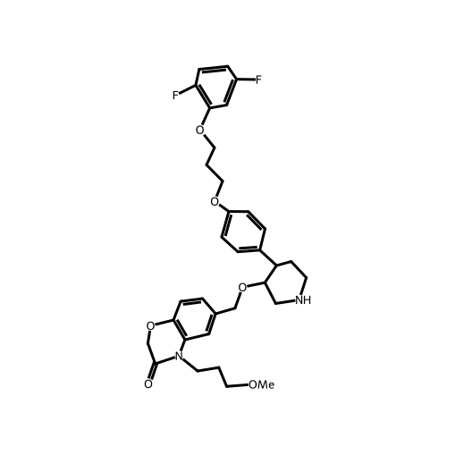 COCCCN1C(=O)COc2ccc(COC3CNCCC3c3ccc(OCCCOc4cc(F)ccc4F)cc3)cc21